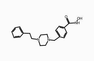 O=C(NO)c1ccc(CN2CCN(CCc3ccccc3)CC2)cc1